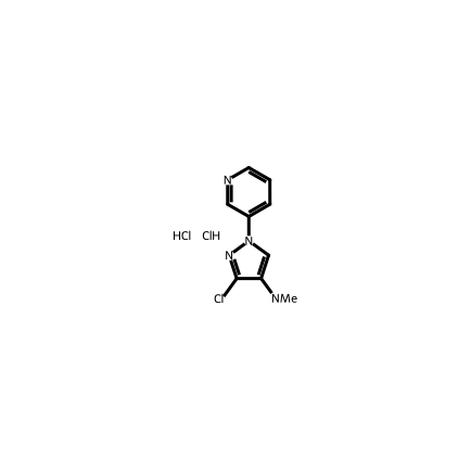 CNc1cn(-c2cccnc2)nc1Cl.Cl.Cl